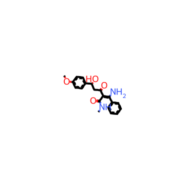 CNC(=O)C(C(=O)CC(O)c1ccc(OC)cc1)=C(N)c1ccccc1